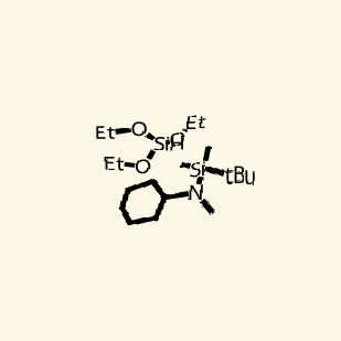 CCO[SiH](OCC)OCC.CN(C1CCCCC1)[Si](C)(C)C(C)(C)C